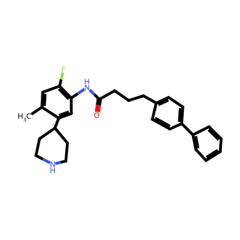 Cc1cc(F)c(NC(=O)CCCc2ccc(-c3ccccc3)cc2)cc1C1CCNCC1